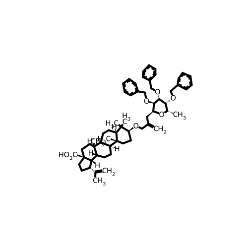 C=C(CO[C@H]1CC[C@]2(C)[C@H]3CC[C@@H]4[C@@H]5[C@H](C(=C)C)CC[C@]5(C(=O)O)CC[C@@]4(C)[C@]3(C)CC[C@H]2C1(C)C)C[C@@H]1O[C@@H](C)[C@@H](OCc2ccccc2)[C@@H](OCc2ccccc2)[C@@H]1OCc1ccccc1